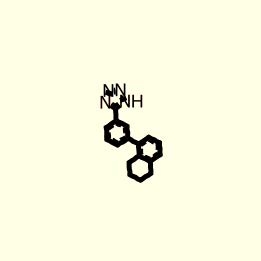 c1cc(-c2nnn[nH]2)cc(-c2cccc3c2CCCC3)c1